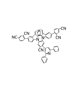 N#Cc1ccc(-c2ccc3c(c2)c2ccccc2n3-c2cc(C#N)c(-c3cc(-c4ccccc4)nc(-c4ccccc4)c3)cc2-n2c3ccccc3c3cc(-c4ccc(C#N)cc4C#N)ccc32)c(C#N)c1